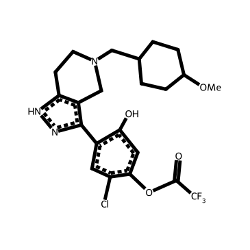 COC1CCC(CN2CCc3[nH]nc(-c4cc(Cl)c(OC(=O)C(F)(F)F)cc4O)c3C2)CC1